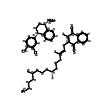 CC1=C(C/C=C(\C)CCC[C@H](C)CCC[C@H](C)CCCC(C)C)C(=O)c2ccccc2C1=O.CN[C@H]1CC[C@@H](c2ccc(Cl)c(Cl)c2)c2ccccc21